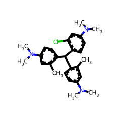 Cc1cc(N(C)C)ccc1C(c1ccc(N(C)C)cc1C)c1ccc(N(C)C)cc1Cl